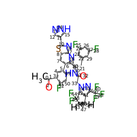 CC(=O)c1cc(-c2cc3sc(-c4cn[nH]c4)nc3nc2[C@H](Cc2cc(F)cc(F)c2)NC(=O)Cn2nc(C(F)(F)F)c3c2C(F)(F)[C@@H]2C[C@H]32)ccc1F